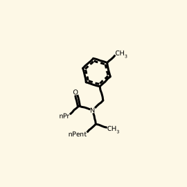 CCCCCC(C)N(Cc1cccc(C)c1)C(=O)CCC